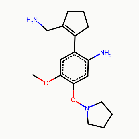 COc1cc(C2=C(CN)CCC2)c(N)cc1ON1CCCC1